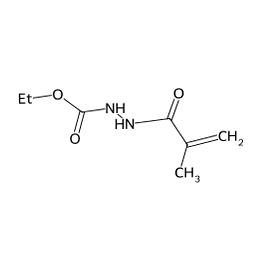 C=C(C)C(=O)NNC(=O)OCC